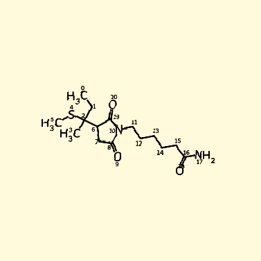 CCC(C)(SC)C1CC(=O)N(CCCCCC(N)=O)C1=O